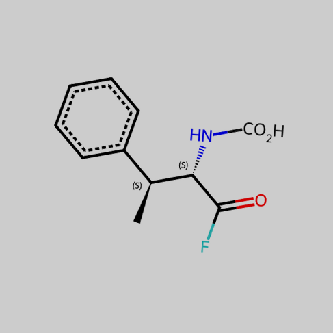 C[C@@H](c1ccccc1)[C@H](NC(=O)O)C(=O)F